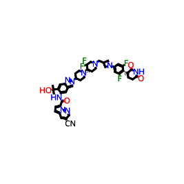 CC(C)(O)c1cc2nn(C3CCN([C@H]4CCN(CC5CN(c6cc(F)c([C@H]7CCC(=O)NC7=O)c(F)c6)C5)CC4(F)F)CC3)cc2cc1NC(=O)c1ccc2cc(C#N)cnn12